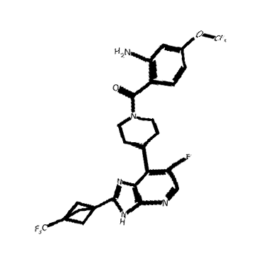 Nc1cc(OC(F)(F)F)ccc1C(=O)N1CCC(c2c(F)cnc3[nH]c(C45CC(C(F)(F)F)(C4)C5)nc23)CC1